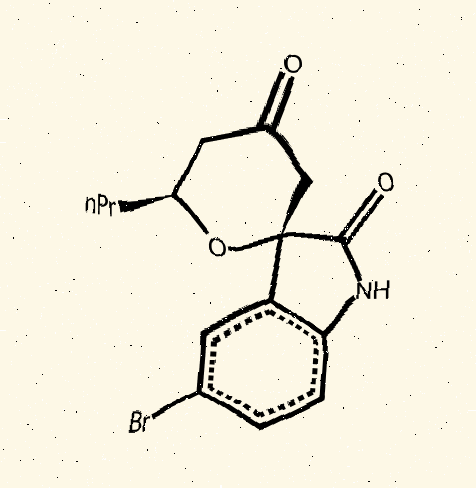 CCC[C@H]1CC(=O)C[C@@]2(O1)C(=O)Nc1ccc(Br)cc12